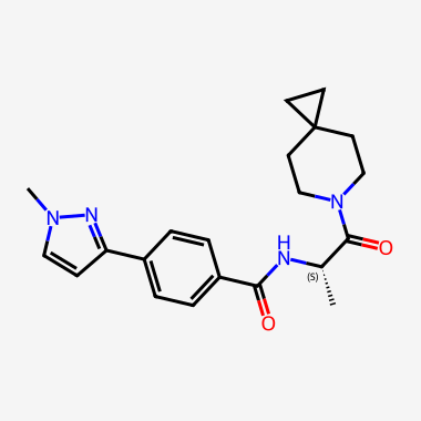 C[C@H](NC(=O)c1ccc(-c2ccn(C)n2)cc1)C(=O)N1CCC2(CC1)CC2